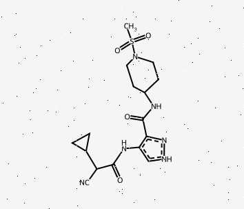 CS(=O)(=O)N1CCC(NC(=O)c2n[nH]cc2NC(=O)C(C#N)C2CC2)CC1